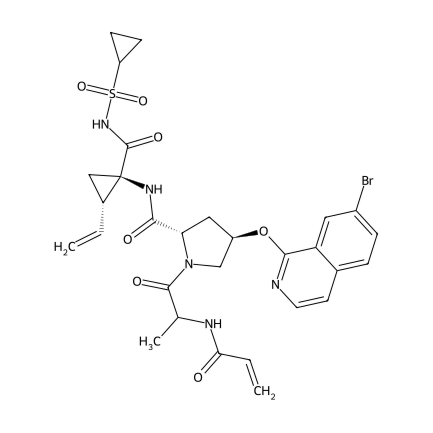 C=CC(=O)NC(C)C(=O)N1C[C@H](Oc2nccc3ccc(Br)cc23)C[C@H]1C(=O)N[C@]1(C(=O)NS(=O)(=O)C2CC2)C[C@H]1C=C